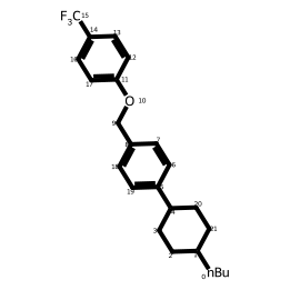 CCCCC1CCC(c2ccc(COc3ccc(C(F)(F)F)cc3)cc2)CC1